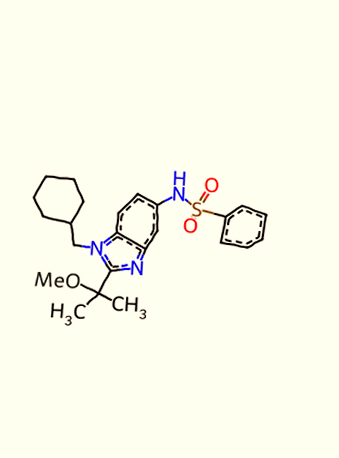 COC(C)(C)c1nc2cc(NS(=O)(=O)c3ccccc3)ccc2n1CC1CCCCC1